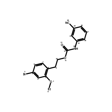 CCOc1cc(Br)ccc1CCOC(=O)Nc1cccc(C#N)c1